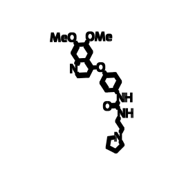 COc1cc2nccc(Oc3ccc(NC(=O)NCCN4CCCC4)cc3)c2cc1OC